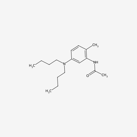 CCCCN(CCCC)c1ccc(C)c(NC(C)=O)c1